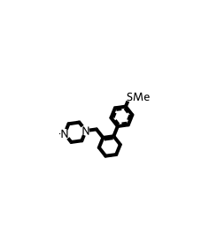 CSc1ccc(C2=C(CN3CC[N]CC3)CCCC2)cc1